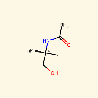 BC(=O)N[C@](C)(CO)CCC